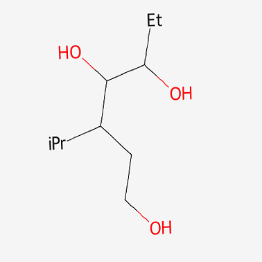 CCC(O)C(O)C(CCO)C(C)C